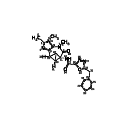 Cc1nc2c(n1C)N(C)C(=O)[C@]1(NC(=O)c3nnc(Cc4ccccc4)o3)C3[C@@H]2[C@H]31